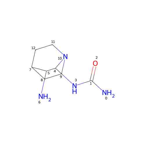 NC(=O)NC1C(N)C2CCN1CC2